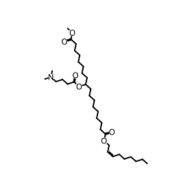 CCCCCC/C=C\COC(=O)CCCCCCCCC(CCCCCCCC(=O)OC)OC(=O)CCCN(C)C